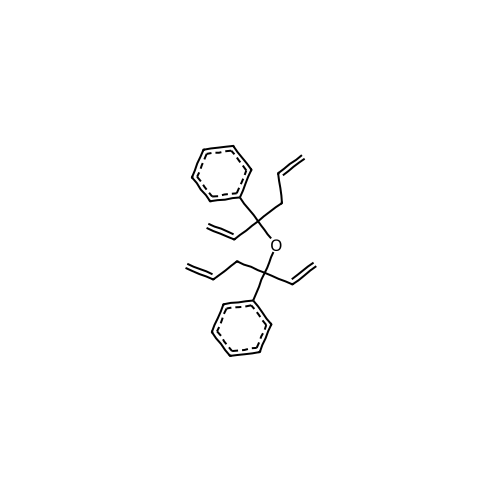 C=CCC(C=C)(OC(C=C)(CC=C)c1ccccc1)c1ccccc1